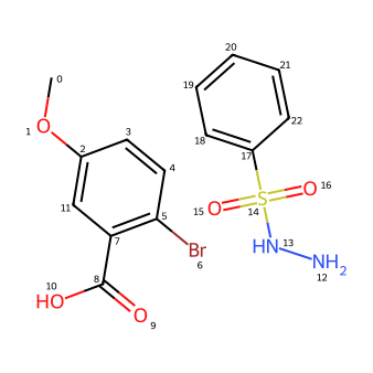 COc1ccc(Br)c(C(=O)O)c1.NNS(=O)(=O)c1ccccc1